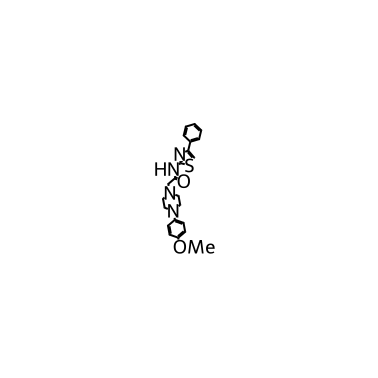 COc1ccc(N2CCN(CC(=O)Nc3nc(-c4ccccc4)cs3)CC2)cc1